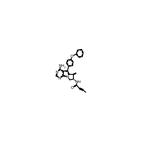 C=C1c2c(-c3ccc(Oc4ccccc4)cc3)c3c(N)ncnc3n2C[C@@H]1NC(=O)C#CC